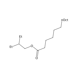 CCCCCCCCCCCCCC(=O)OCC(CC)CC